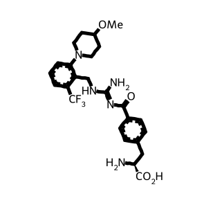 COC1CCN(c2cccc(C(F)(F)F)c2CN/C(N)=N/C(=O)c2ccc(C[C@H](N)C(=O)O)cc2)CC1